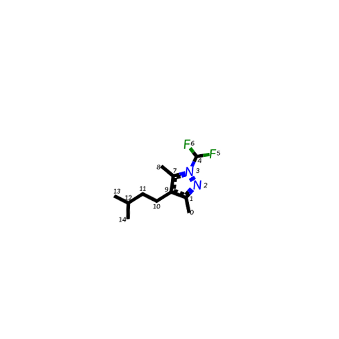 Cc1nn(C(F)F)c(C)c1CCC(C)C